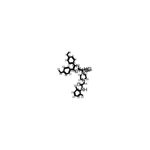 CCc1ccc(-c2nc(CN3CCN(CC(=O)Nc4c(C)cccc4C)CC3)oc2-c2ccc(CC)cc2)cc1.Cl.Cl.O